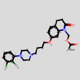 CCCCCCCCCC(=O)OCN1C(=O)CCc2ccc(OCCCCN3CCN(c4cccc(Cl)c4Cl)CC3)cc21